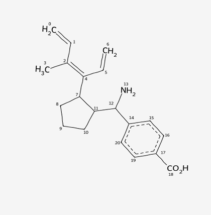 C=C/C(C)=C(\C=C)C1CCCC1C(N)c1ccc(C(=O)O)cc1